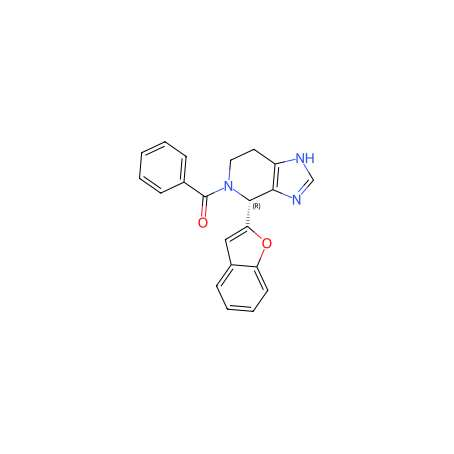 O=C(c1ccccc1)N1CCc2[nH]cnc2[C@@H]1c1cc2ccccc2o1